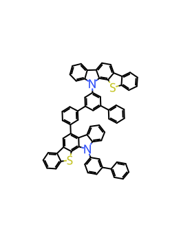 c1ccc(-c2cc(-c3cccc(-c4cc5c6ccccc6sc5c5c4c4ccccc4n5-c4cccc(-c5ccccc5)c4)c3)cc(-n3c4ccccc4c4ccc5c6ccccc6sc5c43)c2)cc1